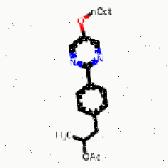 CCCCCCCCOc1cnc(-c2ccc(CC(C)OC(C)=O)cc2)nc1